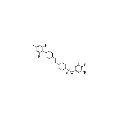 Cc1cc(F)c(C2CCC(/C=C/C3CCC(C(F)(F)Oc4cc(F)c(F)c(F)c4)CC3)CC2)c(F)c1